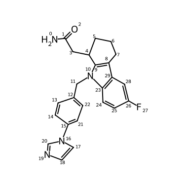 NC(=O)CC1CCCc2c1n(Cc1ccc(-n3ccnc3)cc1)c1ccc(F)cc21